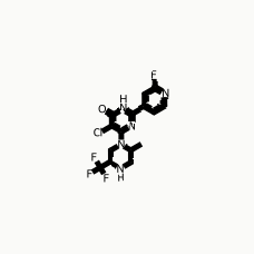 CC1CNC(C(F)(F)F)CN1c1nc(-c2ccnc(F)c2)[nH]c(=O)c1Cl